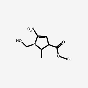 CC1C(C(=O)OC(C)(C)C)C=C([N+](=O)[O-])N1CO